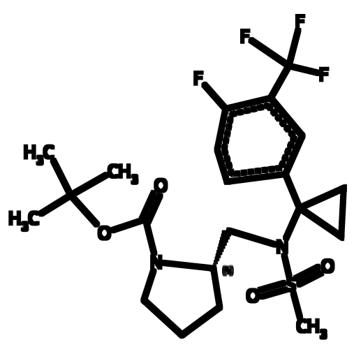 CC(C)(C)OC(=O)N1CCC[C@H]1CN(C1(c2ccc(F)c(C(F)(F)F)c2)CC1)S(C)(=O)=O